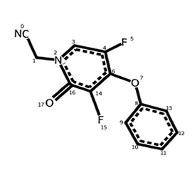 N#CCn1cc(F)c(Oc2ccccc2)c(F)c1=O